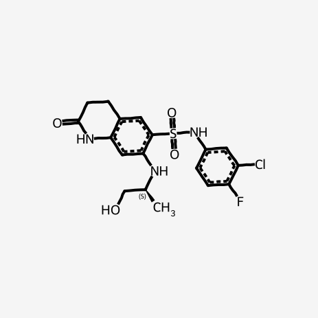 C[C@@H](CO)Nc1cc2c(cc1S(=O)(=O)Nc1ccc(F)c(Cl)c1)CCC(=O)N2